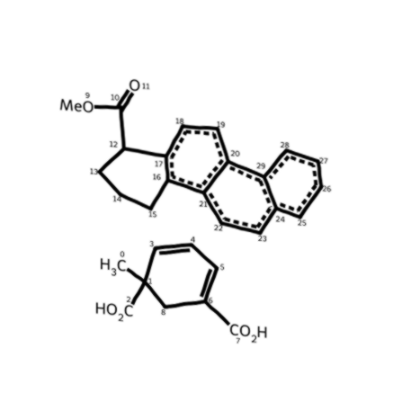 CC1(C(=O)O)C=CC=C(C(=O)O)C1.COC(=O)C1CCCc2c1ccc1c2ccc2ccccc21